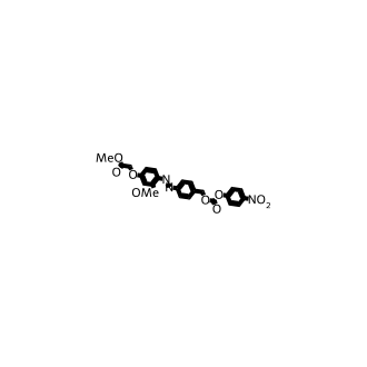 COC(=O)COc1ccc(N=Nc2ccc(COC(=O)Oc3ccc([N+](=O)[O-])cc3)cc2)c(OC)c1